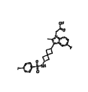 Cc1c(C2CC3(CC(NS(=O)(=O)c4ccc(F)cc4)C3)C2)c2cc(F)ccc2n1CC(=O)O